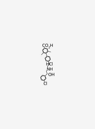 Cc1cc(C(=O)O)cc(C)c1-c1ccc(CCNC[C@H](O)c2cccc(Cl)c2)cc1.Cl